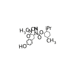 CC1CCC(C(C)C)C(OC(=O)NC(Cc2ccc(O)cc2)C(=O)N(C)C#N)C1